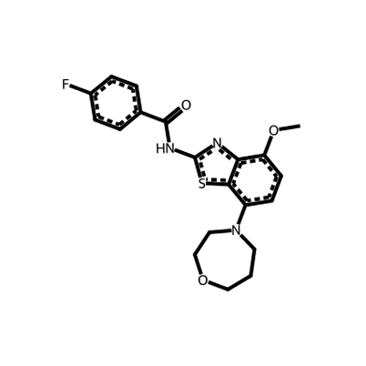 COc1ccc(N2CCCOCC2)c2sc(NC(=O)c3ccc(F)cc3)nc12